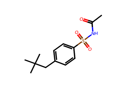 CC(=O)NS(=O)(=O)c1ccc(CC(C)(C)C)cc1